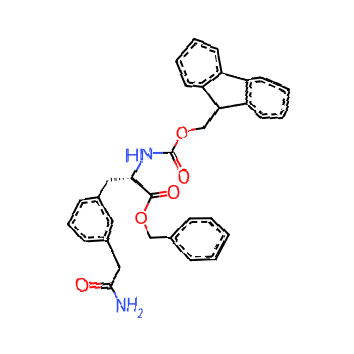 NC(=O)Cc1cccc(C[C@H](NC(=O)OCC2c3ccccc3-c3ccccc32)C(=O)OCc2ccccc2)c1